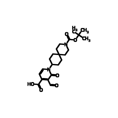 CC(C)(C)OC(=O)N1CCC2(CCC(n3ccc(C(=O)O)c(C=O)c3=O)CC2)CC1